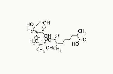 C=C(C)C(=O)O.C=C(C)C(=O)O.CC(=CCCC=C(C)C(=O)O)C(=O)O.OCCO